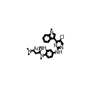 CC(=O)Nc1cc(Nc2ncc(Cl)c(-c3cn(C)c4ccccc34)n2)ccc1N(C)C(=O)CCN(C)C